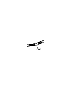 [Au].[O]=[Zr]=[O]